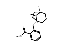 COC(=O)c1ccccc1C[C@]12CCC[C@H](CC1)N2C